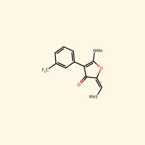 CNC1=C(c2cccc(C(F)(F)F)c2)C(=O)/C(=C\SC)O1